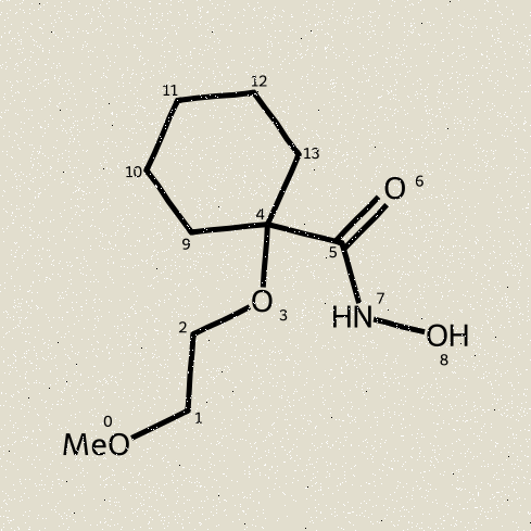 COCCOC1(C(=O)NO)CCCCC1